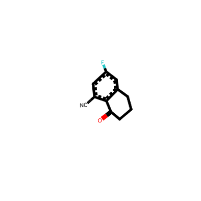 N#Cc1cc(F)cc2c1C(=O)CCC2